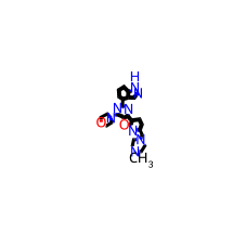 CN1CCN(Cc2ccc3c(n2)oc2c(N4CCOCC4)nc(-c4cccc5[nH]ncc45)nc23)CC1